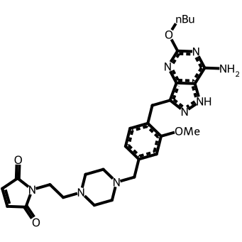 CCCCOc1nc(N)c2[nH]nc(Cc3ccc(CN4CCN(CCN5C(=O)C=CC5=O)CC4)cc3OC)c2n1